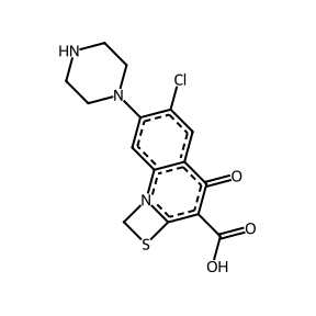 O=C(O)c1c2n(c3cc(N4CCNCC4)c(Cl)cc3c1=O)CS2